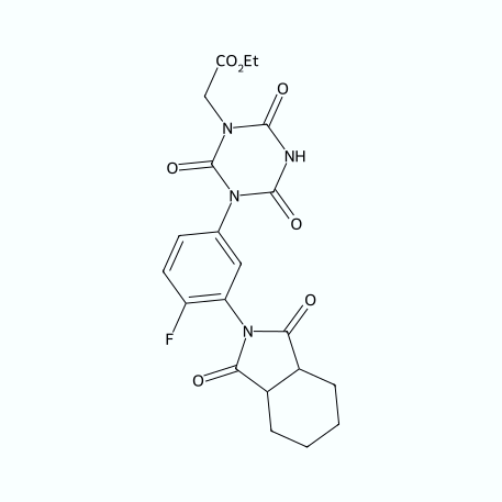 CCOC(=O)Cn1c(=O)[nH]c(=O)n(-c2ccc(F)c(N3C(=O)C4CCCCC4C3=O)c2)c1=O